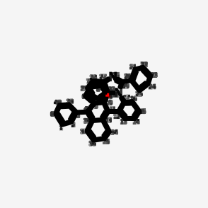 c1ccc(-c2c3ccccc3c(-c3ccccc3-n3c(-c4ccccc4)nc4ccccc43)c3ccccc23)cc1